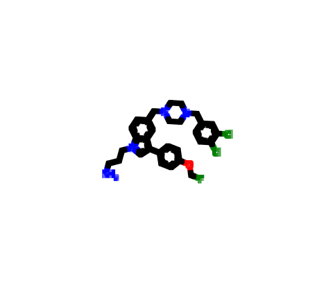 NCCCn1cc(-c2ccc(OCF)cc2)c2cc(CN3CCN(Cc4ccc(Cl)c(Cl)c4)CC3)ccc21